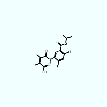 CC(C(=O)O)=C(C)C(=O)Nc1cc(C(=O)OC(C)C)c(Cl)cc1F